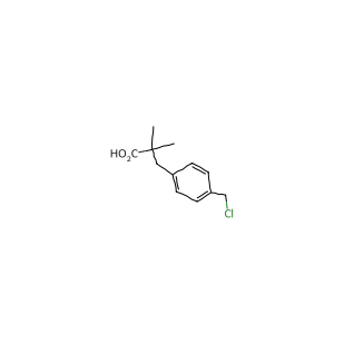 CC(C)(Cc1ccc(CCl)cc1)C(=O)O